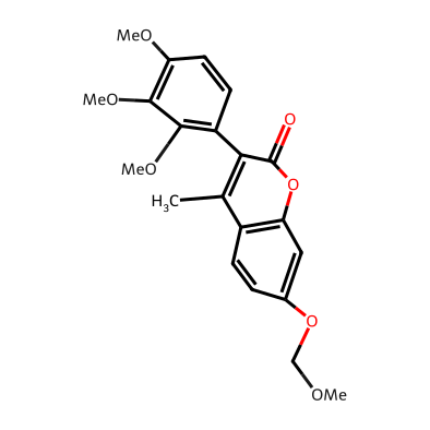 COCOc1ccc2c(C)c(-c3ccc(OC)c(OC)c3OC)c(=O)oc2c1